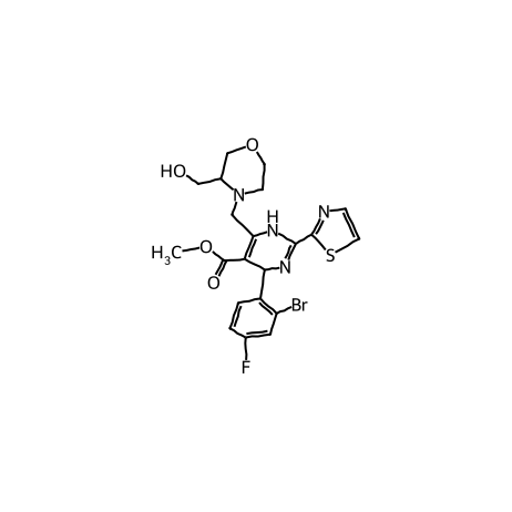 COC(=O)C1=C(CN2CCOCC2CO)NC(c2nccs2)=NC1c1ccc(F)cc1Br